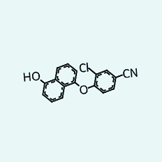 N#Cc1ccc(Oc2cccc3c(O)cccc23)c(Cl)c1